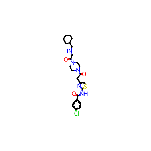 O=C(Nc1nc(CC(=O)N2CCN(C(=O)CNCC3CCCCC3)CC2)cs1)c1ccc(Cl)cc1